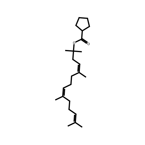 CC(C)=CCCC(C)=CCCC(C)=CCC(C)(C)OC(=O)C1CCCC1